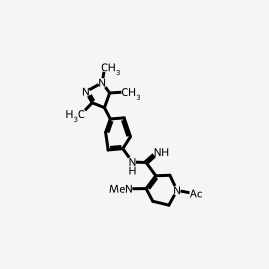 CNC1=C(C(=N)Nc2ccc(C3C(C)=NN(C)C3C)cc2)CN(C(C)=O)CC1